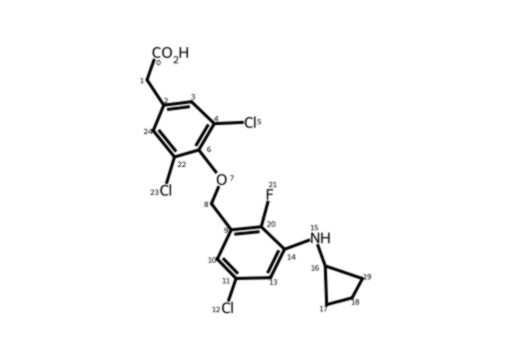 O=C(O)Cc1cc(Cl)c(OCc2cc(Cl)cc(NC3CCC3)c2F)c(Cl)c1